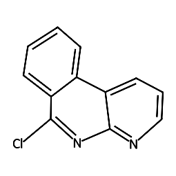 Clc1nc2ncccc2c2ccccc12